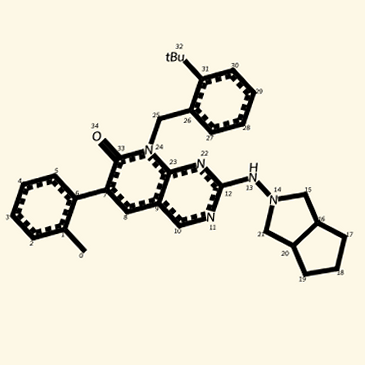 Cc1ccccc1-c1cc2cnc(NN3CC4CCCC4C3)nc2n(Cc2ccccc2C(C)(C)C)c1=O